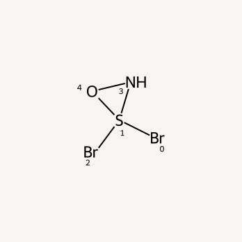 BrS1(Br)NO1